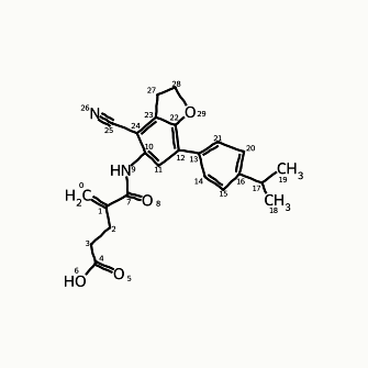 C=C(CCC(=O)O)C(=O)Nc1cc(-c2ccc(C(C)C)cc2)c2c(c1C#N)CCO2